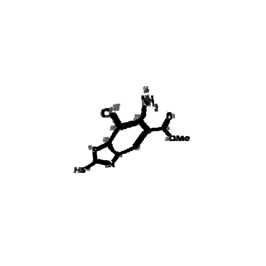 COC(=O)C1=CC2N=C(S)SC2C(Cl)=C1N